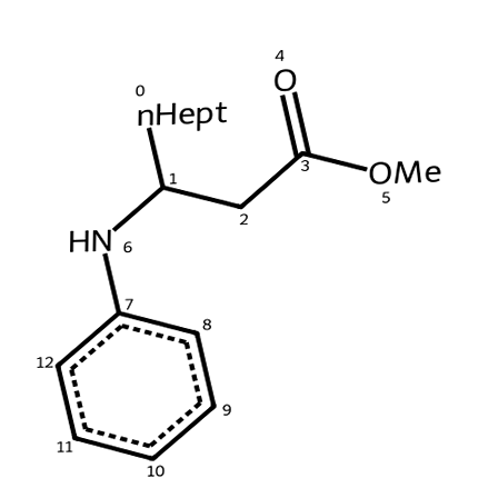 CCCCCCCC(CC(=O)OC)Nc1ccccc1